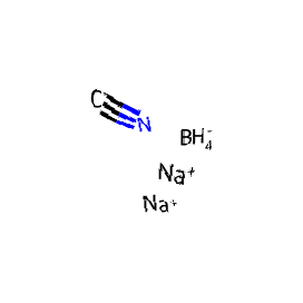 [BH4-].[C-]#N.[Na+].[Na+]